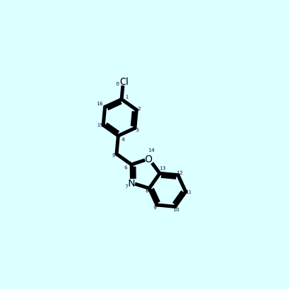 Clc1ccc(Cc2nc3ccccc3o2)cc1